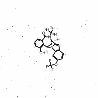 [2H]C([2H])([2H])N1C(=O)c2cccc(O)c2[C@H]2C[C@@H]1c1nc3ccc(OC(F)(F)F)cc3n12